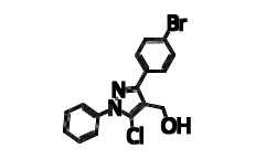 OCc1c(-c2ccc(Br)cc2)nn(-c2ccccc2)c1Cl